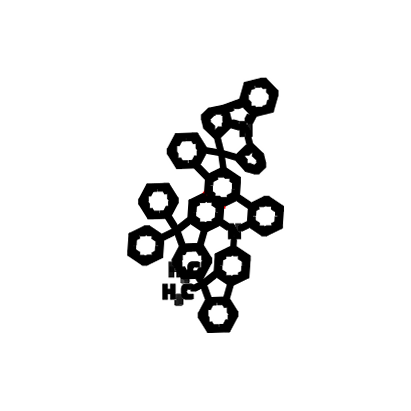 CC1(C)c2ccccc2-c2ccc(N(c3ccccc3-c3ccc4c(c3)C3(c5ccccc5-4)c4ccccc4-n4c5ccccc5c5cccc3c54)c3cccc4c3-c3ccccc3C4(c3ccccc3)c3ccccc3)cc21